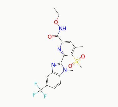 CCONC(=O)c1cc(C)c(S(C)(=O)=O)c(-c2nc3cc(C(F)(F)F)ccc3n2C)n1